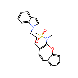 CN(C1=C(CCCn2ccc3ccccc32)C=Cc2ccccc2O1)S(C)(=O)=O